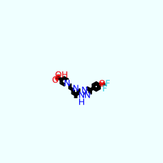 Cc1cc(CCN2CCC(C(=O)O)CC2)ncc1Nc1ncc(-c2ccc(OC(F)F)cc2)cn1